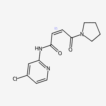 O=C(/C=C\C(=O)N1CCCC1)Nc1cc(Cl)ccn1